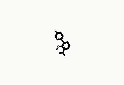 COc1c(-c2ccc(F)cc2)[c]ccc1C(C)C